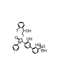 O=C1[C@H](CC[C@H](O)c2ccccc2F)[C@@H](c2ccc(-c3cccc(P(=O)(O)O)c3)cc2O)N1c1ccccc1